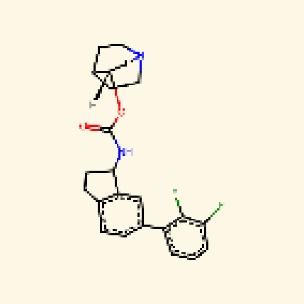 O=C(NC1CCc2ccc(-c3cccc(F)c3F)cc21)O[C@H]1CN2CCC1CC2